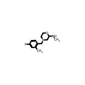 CNC1CN(Cc2ccc(F)cc2C)CCO1